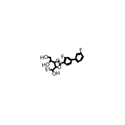 CCC(O)C1OB(c2ccc(-c3cccc(F)c3)cc2F)OC1C(O)CO